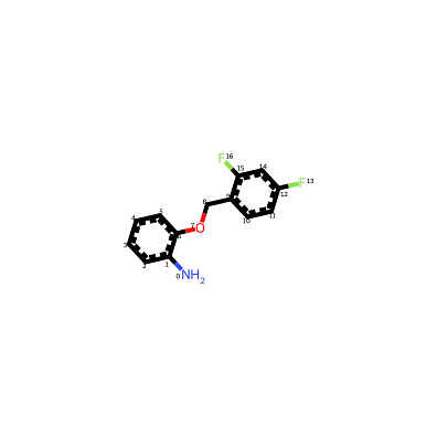 Nc1ccccc1OCc1ccc(F)cc1F